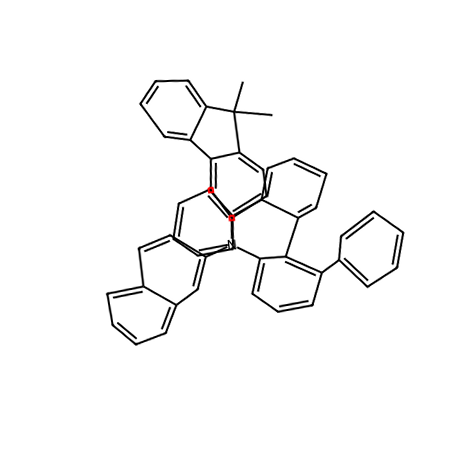 CC1(C)c2ccccc2-c2cc(N(c3ccc4ccccc4c3)c3cccc(-c4ccccc4)c3-c3ccccc3-c3ccccc3)ccc21